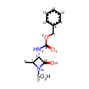 CC1[C@H](NC(=O)OCc2ccccc2)C(=O)N1S(=O)(=O)O